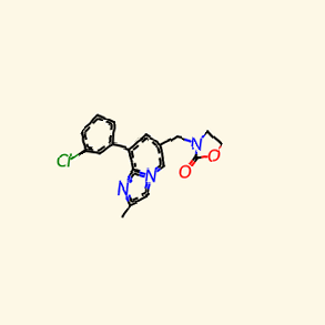 Cc1cn2cc(CN3CCOC3=O)cc(-c3cccc(Cl)c3)c2n1